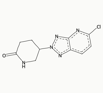 O=C1CCC(n2nc3ccc(Cl)nc3n2)CN1